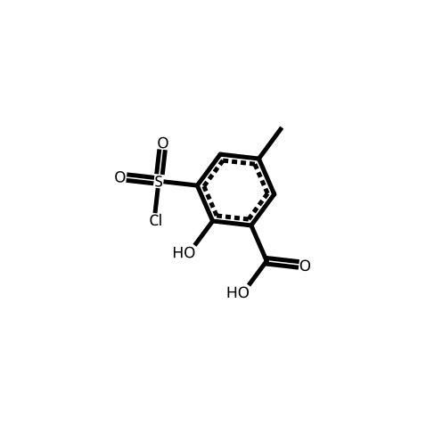 Cc1cc(C(=O)O)c(O)c(S(=O)(=O)Cl)c1